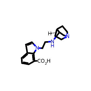 O=C(O)c1cccc2ccn(CCN[C@@H]3CN4CCC3CC4)c12